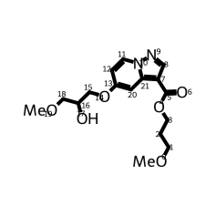 COCCCOC(=O)c1cnn2ccc(OCC(O)COC)cc12